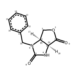 O=C1OC[C@H]2[C@@H]1NC(=O)N2Cc1ccccc1